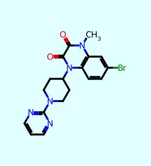 Cn1c(=O)c(=O)n(C2CCN(c3ncccn3)CC2)c2ccc(Br)cc21